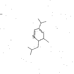 CC(C)CC1N=CC(C(C)C)=CC1C